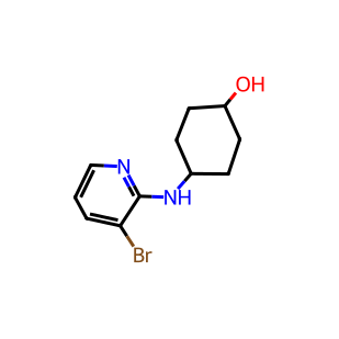 OC1CCC(Nc2ncccc2Br)CC1